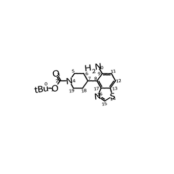 CC(C)(C)OC(=O)N1CCC(c2c(N)ccc3scnc23)CC1